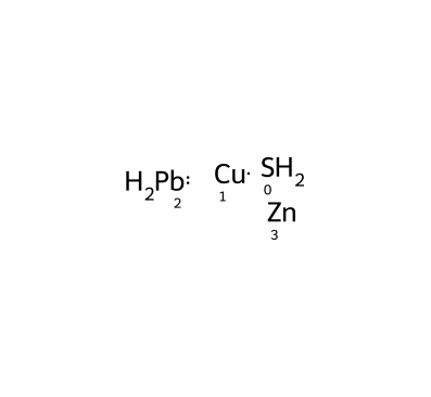 S.[Cu].[PbH2].[Zn]